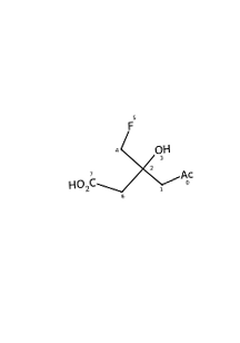 CC(=O)CC(O)(CF)CC(=O)O